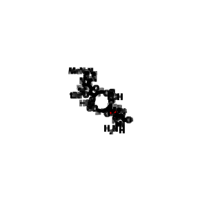 CNc1ncnc2c(C3OC4COP(=O)(O)OC5C(O[Si](C)(C)C(C)(C)C)C(COP(=O)(O)OC4C3O[Si](C)(C)C(C)(C)C)OC5n3cnc4c(=O)[nH]c(N)nc43)cnn12